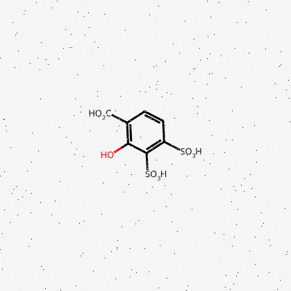 O=C(O)c1ccc(S(=O)(=O)O)c(S(=O)(=O)O)c1O